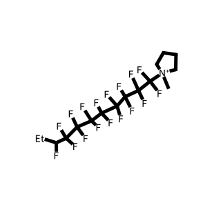 CCC(F)C(F)(F)C(F)(F)C(F)(F)C(F)(F)C(F)(F)C(F)(F)C(F)(F)C(F)(F)[N+]1(C)CCCC1